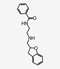 O=C(NCCNCC1Cc2ccccc2O1)c1ccccc1